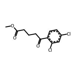 COC(=O)CCCC(=O)c1ccc(Cl)cc1Cl